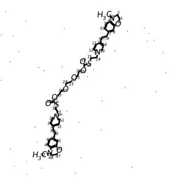 CN1CCOc2cc(/C=C/c3cc[n+](CCSC(=O)OCCOCCOCCOC(=O)SCC[n+]4ccc(/C=C/c5ccc6c(c5)OCCN6C)cc4)cc3)ccc21